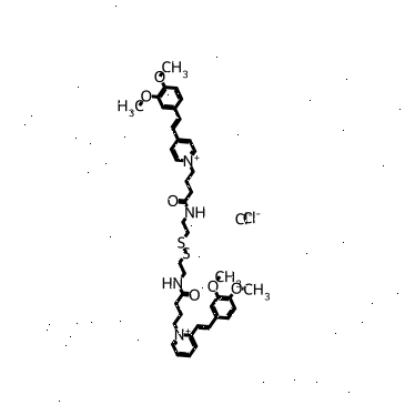 COc1ccc(C=Cc2cc[n+](CCCC(=O)NCCSSCCNC(=O)CCC[n+]3ccccc3C=Cc3ccc(OC)c(OC)c3)cc2)cc1OC.[Cl-].[Cl-]